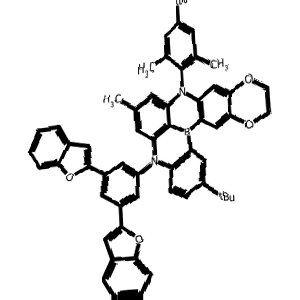 Cc1cc2c3c(c1)N(c1c(C)cc(C(C)(C)C)cc1C)c1cc4c(cc1B3c1cc(C(C)(C)C)ccc1N2c1cc(-c2cc3ccccc3o2)cc(-c2cc3ccccc3o2)c1)OCCO4